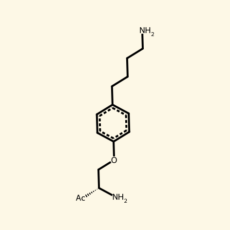 CC(=O)[C@@H](N)COc1ccc(CCCCN)cc1